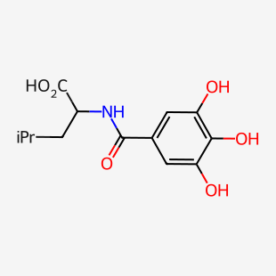 CC(C)CC(NC(=O)c1cc(O)c(O)c(O)c1)C(=O)O